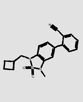 CN1c2cc(-c3ccccc3C#N)ccc2N(CC2CCC2)S1(=O)=O